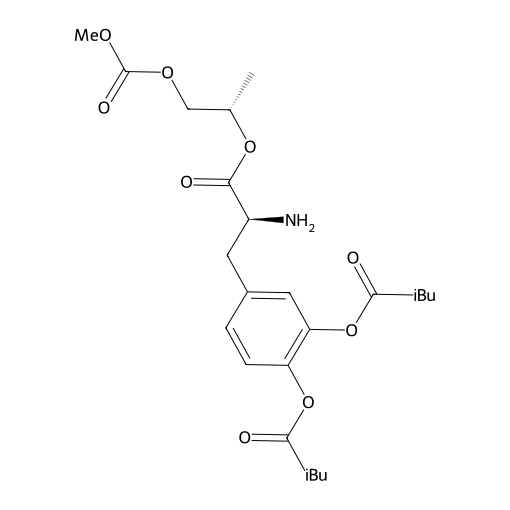 CCC(C)C(=O)Oc1ccc(C[C@H](N)C(=O)O[C@@H](C)COC(=O)OC)cc1OC(=O)C(C)CC